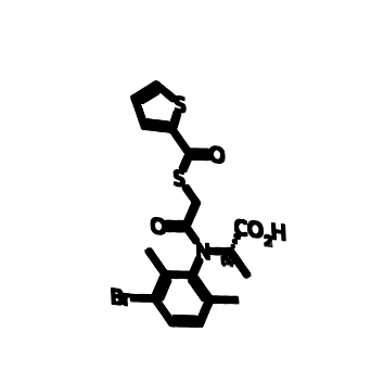 Cc1ccc(Br)c(C)c1N(C(=O)CSC(=O)c1cccs1)[C@@H](C)C(=O)O